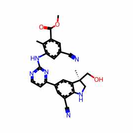 COC(=O)c1cc(C#N)cc(Nc2nccc(-c3cc(C#N)c4c(c3)[C@@](C)(CO)CN4)n2)c1C